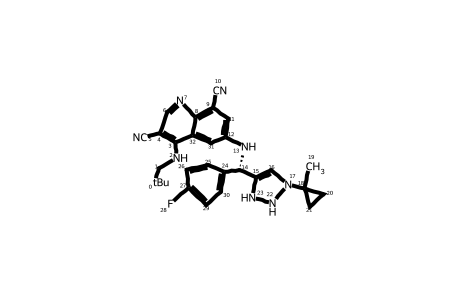 CC(C)(C)CNc1c(C#N)cnc2c(C#N)cc(N[C@H](C3=CN(C4(C)CC4)NN3)c3ccc(F)cc3)cc12